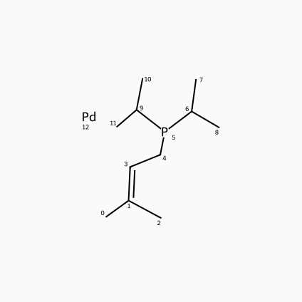 CC(C)=CCP(C(C)C)C(C)C.[Pd]